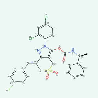 C[C@H](NC(=O)Oc1c2c(nn1-c1ccc(Cl)cc1Cl)/C(=C/c1ccc(F)cc1)CS(=O)(=O)C2)c1ccccc1